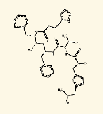 CC(C)[C@H](NC(=O)N(C)Cc1csc(CN(C)C)n1)C(=O)N[C@@H](Cc1ccccc1)C[C@H](O)[C@H](Cc1ccccc1)NC(=O)OCc1ccns1